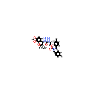 CCCC[C@@H](COC(=O)N(Cc1ccc(C)cc1)Cc1ccc(C)cc1)NC(=O)N[C@@H](CC(=O)OC)c1ccc2c(c1)OCO2